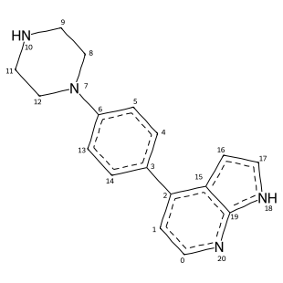 c1cc(-c2ccc(N3CCNCC3)cc2)c2cc[nH]c2n1